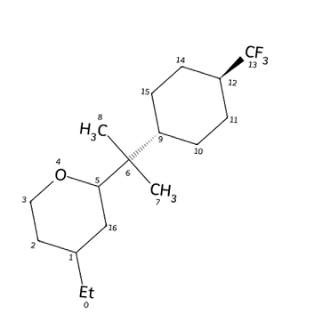 CCC1CCOC(C(C)(C)[C@H]2CC[C@H](C(F)(F)F)CC2)C1